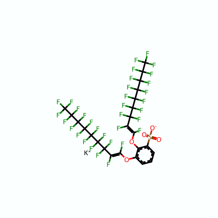 O=S(=O)([O-])c1cccc(OC(F)=C(F)C(F)(F)C(F)(F)C(F)(F)C(F)(F)C(F)(F)C(F)(F)C(F)(F)F)c1OC(F)=C(F)C(F)(F)C(F)(F)C(F)(F)C(F)(F)C(F)(F)C(F)(F)C(F)(F)F.[K+]